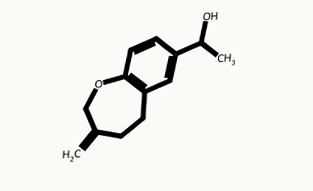 C=C1CCc2cc(C(C)O)ccc2OC1